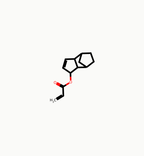 C=CC(=O)OC1C=CC2C3CCC(C3)C12